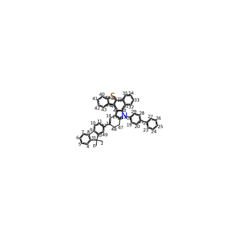 CC1(C)c2ccccc2-c2ccc(C3=Cc4c(n(-c5ccc(-c6ccccc6)cc5)c5c6ccccc6c6sc7ccccc7c6c45)CC3)cc21